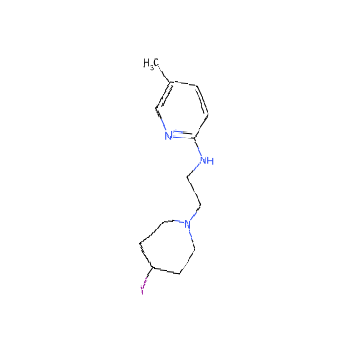 Cc1ccc(NCCN2CCC(I)CC2)nc1